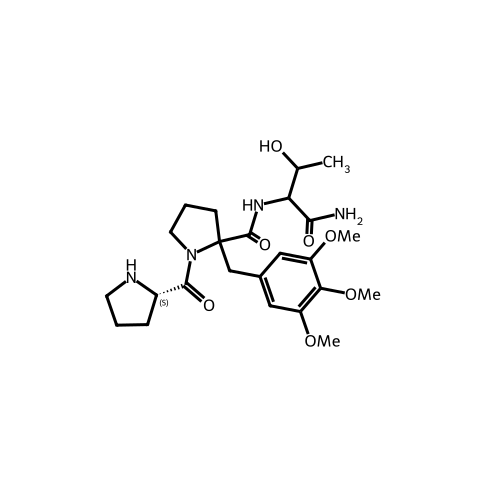 COc1cc(CC2(C(=O)NC(C(N)=O)C(C)O)CCCN2C(=O)[C@@H]2CCCN2)cc(OC)c1OC